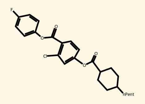 CCCCCC1CCC(C(=O)Oc2ccc(C(=O)Oc3ccc(F)cc3)c(Cl)c2)CC1